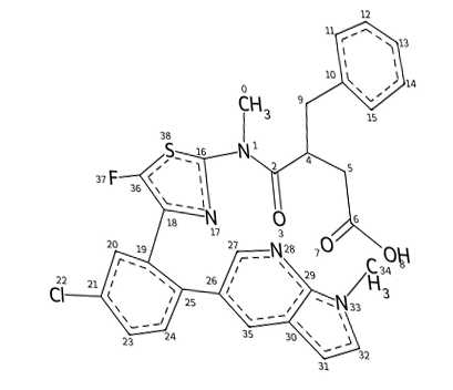 CN(C(=O)C(CC(=O)O)Cc1ccccc1)c1nc(-c2cc(Cl)ccc2-c2cnc3c(ccn3C)c2)c(F)s1